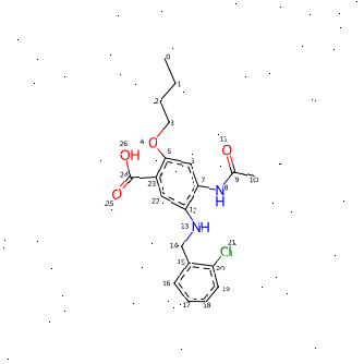 CCCCOc1cc(NC(C)=O)c(NCc2ccccc2Cl)cc1C(=O)O